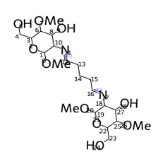 COC1OC(CO)C(OC)C(O)C1/N=C/CCC/C=N/C1C(OC)OC(CO)C(OC)C1O